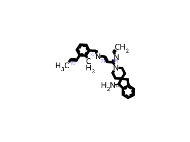 C=C\N=C(/C=C/N=C/c1cccc(/C=C/C)c1C)N1CCC2(CC1)Cc1ccccc1[C@H]2N